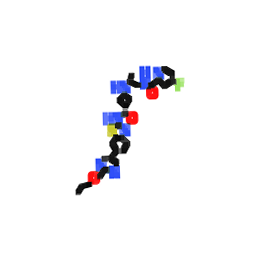 CCCOCc1ncc(-c2ccc3nc(NC(=O)[C@H]4C[C@@H](N[C@@H](C)CNC(=O)c5cc(F)ccn5)C4)sc3c2)cn1